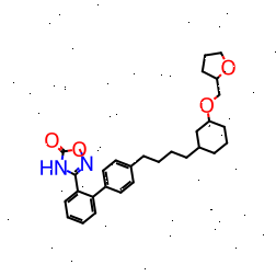 O=c1[nH]c(-c2ccccc2-c2ccc(CCCCC3CCC[C](OCC4CCCO4)C3)cc2)no1